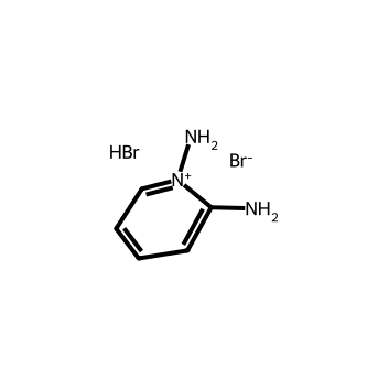 Br.Nc1cccc[n+]1N.[Br-]